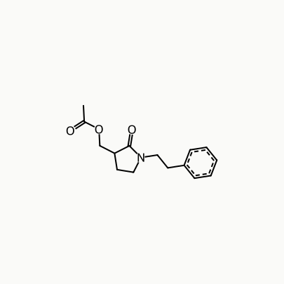 CC(=O)OCC1CCN(CCc2ccccc2)C1=O